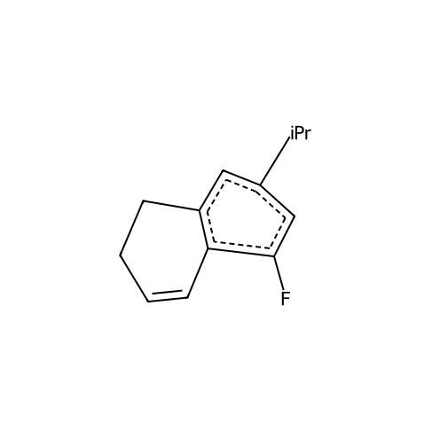 CC(C)c1cc(F)c2c(c1)CCC=C2